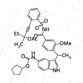 CCC(C)(C#Cc1ccccc1S(=O)(=O)NC(=O)c1ccc(C(C)c2c[nH]c3ccc(NC(=O)OC4CCCC4)cc23)c(OC)c1)OC(C)=O